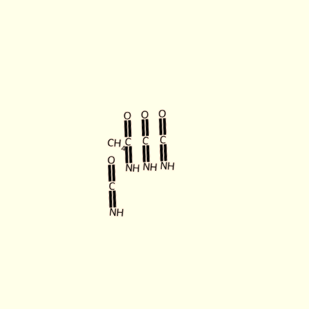 C.N=C=O.N=C=O.N=C=O.N=C=O